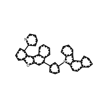 c1ccc(-c2cccc3oc4cc(-c5cccc(-n6c7ccccc7c7c8ccccc8ccc76)c5)c5ccccc5c4c23)nc1